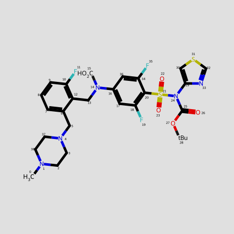 CN1CCN(Cc2cccc(F)c2CN(C(=O)O)c2cc(F)c(S(=O)(=O)N(C(=O)OC(C)(C)C)c3cscn3)c(F)c2)CC1